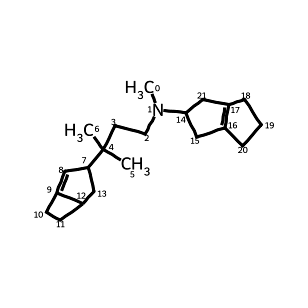 CN(CCC(C)(C)C1C=C2CCC2C1)C1CC2=C(CCC2)C1